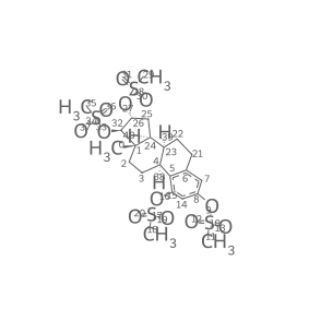 C[C@]12CC[C@@H]3c4c(cc(OS(C)(=O)=O)cc4OS(C)(=O)=O)CC[C@@H]3[C@@H]1C[C@@H](OS(C)(=O)=O)[C@@H]2OS(C)(=O)=O